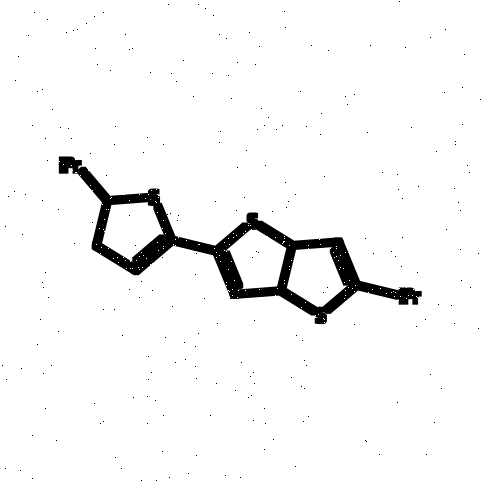 CC(C)C1=CC2SC(C3=CCC(C(C)C)S3)=CC2S1